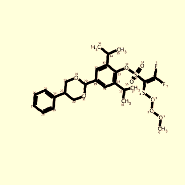 COOOSC(=C(F)F)S(=O)(=O)Oc1c(C(C)C)cc(C2OCC(c3ccccc3)CO2)cc1C(C)C